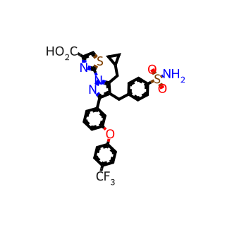 NS(=O)(=O)c1ccc(Cc2c(-c3cccc(Oc4ccc(C(F)(F)F)cc4)c3)nn(-c3nc(C(=O)O)cs3)c2CC2CC2)cc1